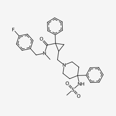 CN(Cc1ccc(F)cc1)C(=O)C1(c2ccccc2)CC1CN1CCC(NS(C)(=O)=O)(c2ccccc2)CC1